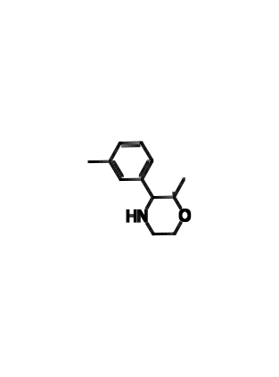 C[C]1OCCNC1c1cccc(C)c1